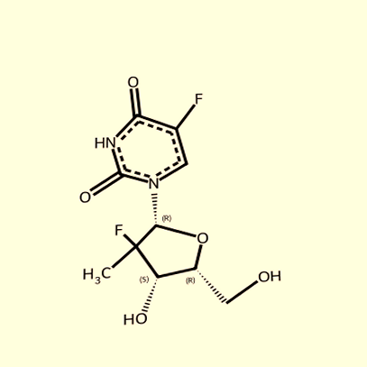 CC1(F)[C@@H](O)[C@@H](CO)O[C@H]1n1cc(F)c(=O)[nH]c1=O